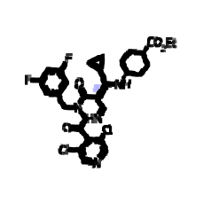 CCOC(=O)[C@H]1CC[C@H](N/C(=C(\C=N)C(=O)N(CC(=O)c2c(Cl)cncc2Cl)Cc2cc(F)cc(F)c2)C2CC2)CC1